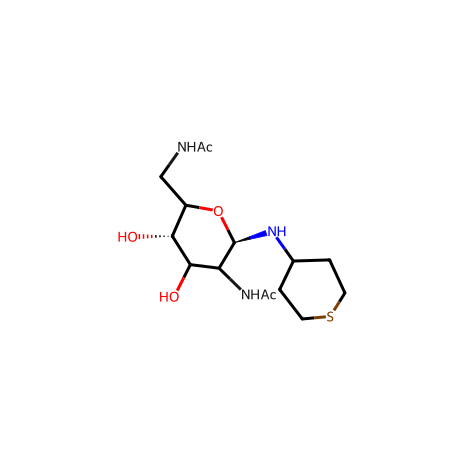 CC(=O)NCC1O[C@@H](NC2CCSCC2)C(NC(C)=O)C(O)[C@@H]1O